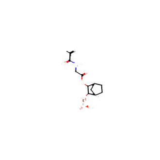 C=C(C)C(=O)NCC(=O)OC1C2CCC(C2)C1O[SH](=O)=O